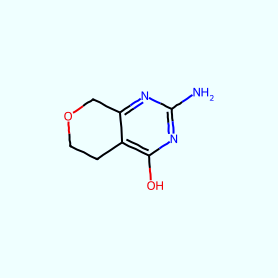 Nc1nc(O)c2c(n1)COCC2